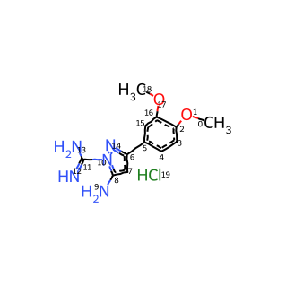 COc1ccc(-c2cc(N)n(C(=N)N)n2)cc1OC.Cl